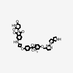 CC(C)(c1ccc(OCc2ccnc(N3CCC4(CCNC4)C3)n2)cc1)c1ccc(O[C@H]2C[C@H](Nc3ccc4c(c3)C(=O)N(C3CCC(=O)NC3=O)C4=O)C2)cc1